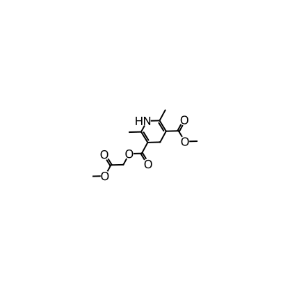 COC(=O)COC(=O)C1=C(C)NC(C)=C(C(=O)OC)C1